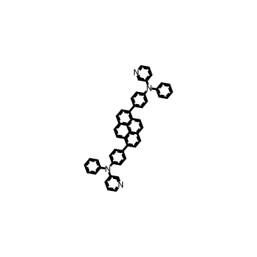 c1ccc(N(c2ccc(-c3ccc4ccc5c(-c6ccc(N(c7ccccc7)c7cccnc7)cc6)ccc6ccc3c4c65)cc2)c2cccnc2)cc1